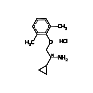 Cc1cccc(C)c1OC[C@H](N)C1CC1.Cl